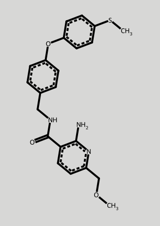 COCc1ccc(C(=O)NCc2ccc(Oc3ccc(SC)cc3)cc2)c(N)n1